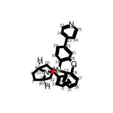 c1csc(CN2[C@@H]3CC[C@H]2C[C@@H](N2c4ccccc4Oc4cc(-c5ccncc5)ccc42)C3)c1